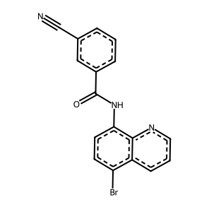 N#Cc1cccc(C(=O)Nc2ccc(Br)c3cccnc23)c1